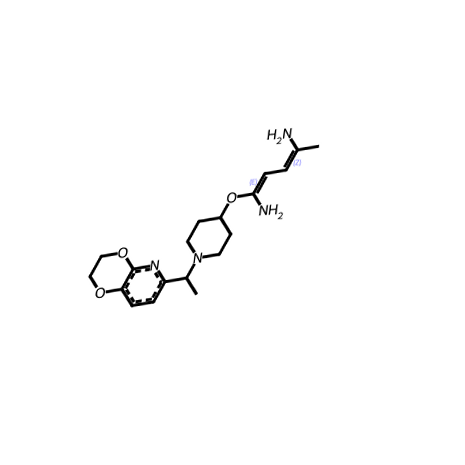 C/C(N)=C/C=C(\N)OC1CCN(C(C)c2ccc3c(n2)OCCO3)CC1